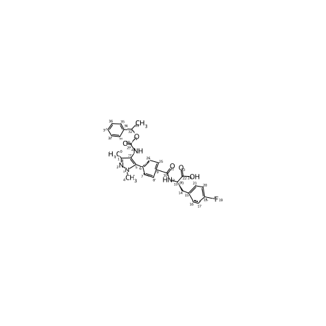 Cc1nn(C)c(-c2ccc(C(=O)N[C@H](Cc3ccc(F)cc3)C(=O)O)cc2)c1NC(=O)OC(C)c1ccccc1